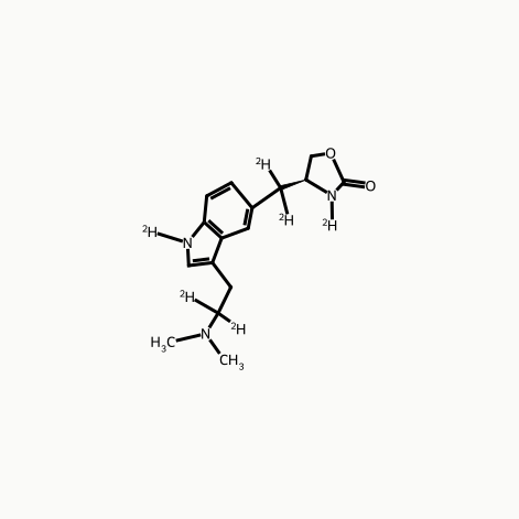 [2H]N1C(=O)OC[C@@H]1C([2H])([2H])c1ccc2c(c1)c(CC([2H])([2H])N(C)C)cn2[2H]